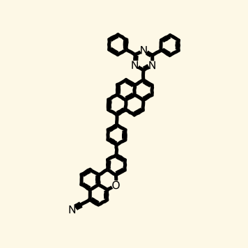 N#Cc1ccc2c3c(cccc13)-c1cc(-c3ccc(-c4ccc5ccc6c(-c7nc(-c8ccccc8)nc(-c8ccccc8)n7)ccc7ccc4c5c76)cc3)ccc1O2